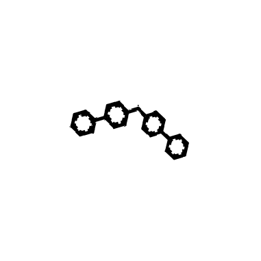 [CH](c1ccc(-c2ccccc2)cc1)c1ccc(-c2ccccc2)cc1